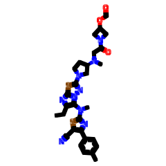 CCc1nc2sc(N3CC[C@@H](N(C)CC(=O)N4CC(OC=O)C4)C3)nn2c1N(C)c1nc(-c2ccc(C)cc2)c(C#N)s1